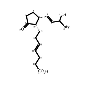 CCCC(O)/C=C/[C@H]1CCC(=O)[C@H]1CCC=CCCC(=O)O